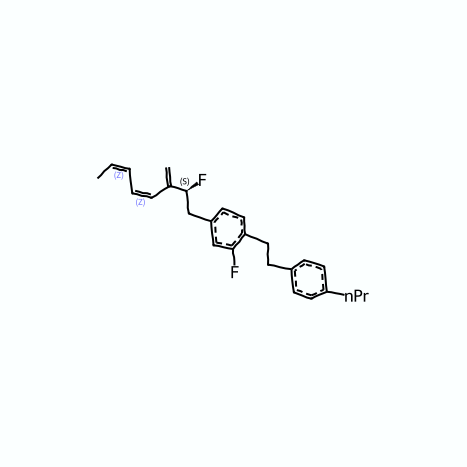 C=C(/C=C\C=C/C)[C@@H](F)Cc1ccc(CCc2ccc(CCC)cc2)c(F)c1